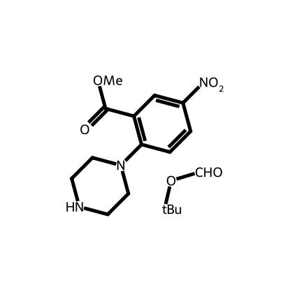 CC(C)(C)OC=O.COC(=O)c1cc([N+](=O)[O-])ccc1N1CCNCC1